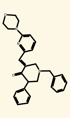 O=C1C(=Cc2cccc(N3CCOCC3)n2)CN(Cc2ccccc2)CC1c1ccccc1